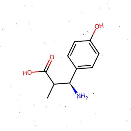 CC(C(=O)O)[C@H](N)c1ccc(O)cc1